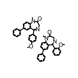 COc1ccc(C2=NCC(=O)N(C)c3ccc(-c4ccccc4)cc32)cc1.COc1ccccc1C1=NCC(=O)N(C)c2ccc(-c3ccccc3)cc21